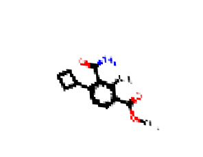 COC(=O)c1ccc(C2CCC2)c(C(N)=O)c1C